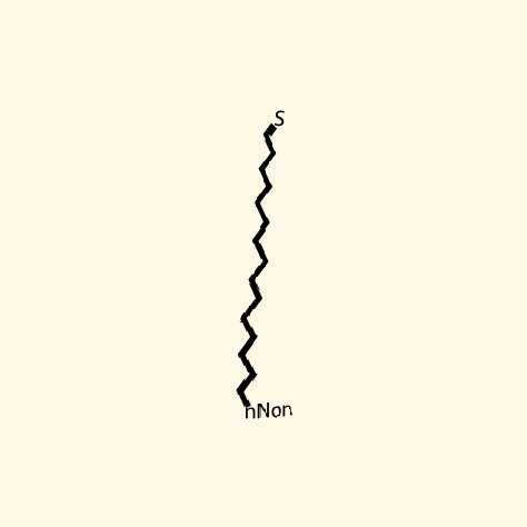 CCCCCCCCCCCCCCCCCCCCCCCC=S